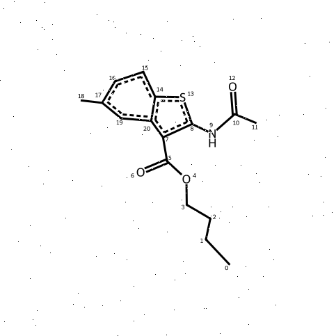 CCCCOC(=O)c1c(NC(C)=O)sc2ccc(C)cc12